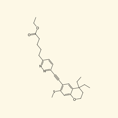 CCOC(=O)CCCCc1ccc(C#Cc2cc3c(cc2SC)OCCC3(CC)CC)nn1